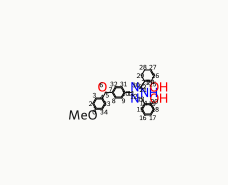 COc1ccc(C(=O)c2ccc(C3=NC(c4ccccc4O)NC(C4=C(O)C=CCC4)=N3)cc2)cc1